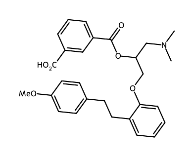 COc1ccc(CCc2ccccc2OCC(CN(C)C)OC(=O)c2cccc(C(=O)O)c2)cc1